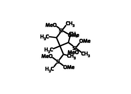 CO[Si](C)(OC)C(C)C(C)(C(C)[Si](C)(OC)OC)C(C)[Si](C)(OC)OC